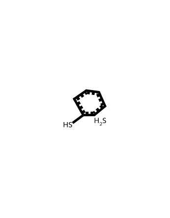 S.Sc1ccccc1